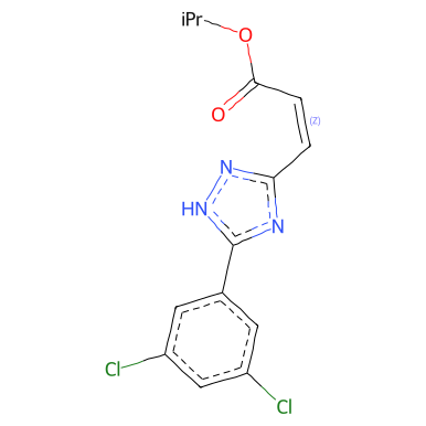 CC(C)OC(=O)/C=C\c1n[nH]c(-c2cc(Cl)cc(Cl)c2)n1